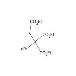 CCCC(CC(=O)OCC)(C(=O)OCC)C(=O)OCC